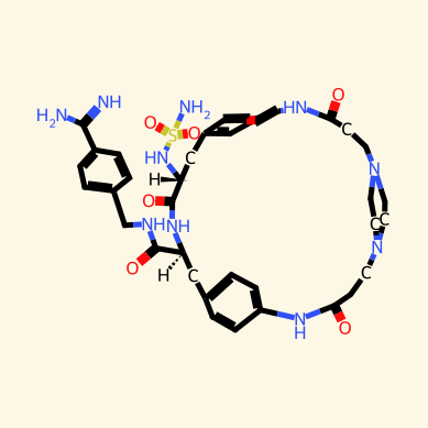 N=C(N)c1ccc(CNC(=O)[C@@H]2Cc3ccc(cc3)NC(=O)CCN3CCN(CCC(=O)Nc4ccc(cc4)C[C@@H](NS(N)(=O)=O)C(=O)N2)CC3)cc1